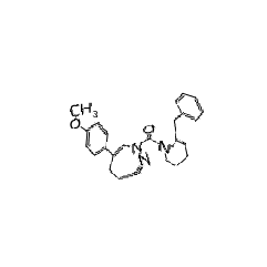 COc1ccc(C2=CN(C(=O)N3CCCCC3Cc3ccccc3)N=C=CC2)cc1